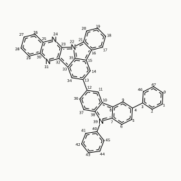 c1ccc(-c2ccc3c(c2)c2cc(-c4cc5c6ccccc6n6c7nc8ccccc8nc7c(c4)c56)ccc2n3-c2ccccc2)cc1